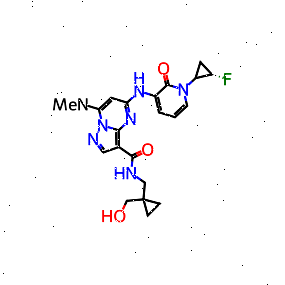 CNc1cc(Nc2cccn(C3C[C@@H]3F)c2=O)nc2c(C(=O)NCC3(CO)CC3)cnn12